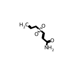 C=CCS(=O)(=O)/C=C/C(N)=O